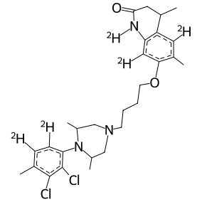 [2H]c1c([2H])c(N2C(C)CN(CCCCOc3c([2H])c4c(c([2H])c3C)C(C)CC(=O)N4[2H])CC2C)c(Cl)c(Cl)c1C